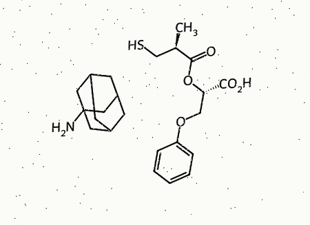 C[C@H](CS)C(=O)O[C@@H](COc1ccccc1)C(=O)O.NC12CC3CC(CC(C3)C1)C2